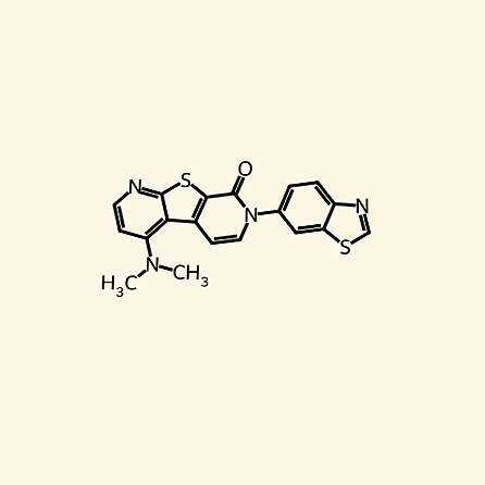 CN(C)c1ccnc2sc3c(=O)n(-c4ccc5ncsc5c4)ccc3c12